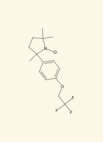 CC1(C)CCC(C)(c2ccc(OCC(F)(F)F)cc2)N1[O]